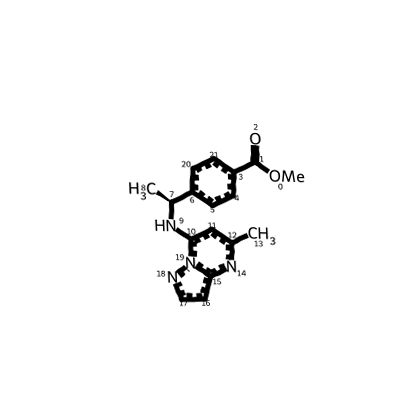 COC(=O)c1ccc([C@H](C)Nc2cc(C)nc3ccnn23)cc1